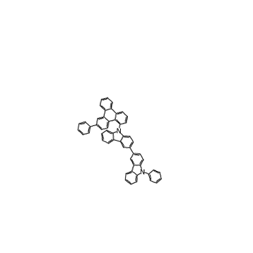 c1ccc(-c2ccc3c(c2)c2ccccc2c2cccc(-n4c5ccccc5c5cc(-c6ccc7c(c6)c6ccccc6n7-c6ccccc6)ccc54)c23)cc1